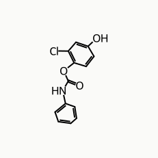 O=C(Nc1ccccc1)Oc1ccc(O)cc1Cl